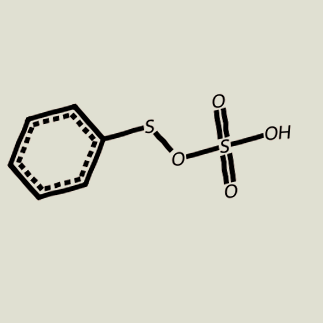 O=S(=O)(O)OSc1ccccc1